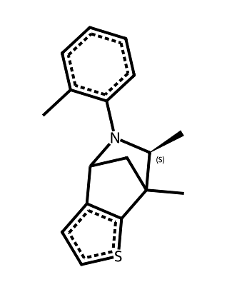 Cc1ccccc1N1C2CC(C)(c3sccc32)[C@@H]1C